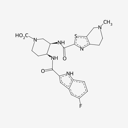 CN1CCc2nc(C(=O)N[C@@H]3CN(C(=O)O)CC[C@@H]3NC(=O)c3cc4cc(F)ccc4[nH]3)sc2C1